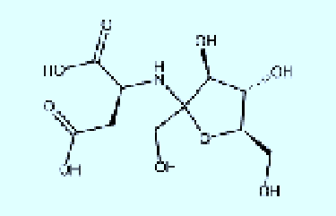 O=C(O)C[C@H](NC1(CO)O[C@H](CO)[C@@H](O)[C@@H]1O)C(=O)O